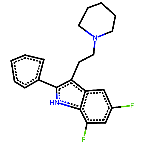 Fc1cc(F)c2[nH]c(-c3ccccc3)c(CCN3CCCCC3)c2c1